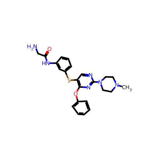 CN1CCN(c2ncc(Sc3cccc(NC(=O)CN)c3)c(Oc3ccccc3)n2)CC1